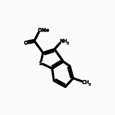 COC(=O)c1sc2ccc(C)cc2c1N